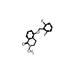 CN1CCc2c(OCc3c(F)cccc3F)cccc2C1=O